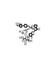 CCc1ccc(-c2ccc(CN(CCN(CC)CC)C(=O)Cn3c(CCc4cccc(F)c4F)cc(=O)c4ccccc43)cc2)cc1.O=C(O)C(O)C(O)C(=O)O